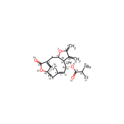 C=C1OC2CC3=C[C@@H](C/C(C)=C/[C@@H](OC(=O)C(CC)CCCC)[C@@H]2C1=C)OC3=O